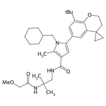 COCC(=O)NC(C)(C)CNC(=O)c1cc(-c2cc(C(C)(C)C)c3c(c2)C2(CCO3)CC2)n(CC2CCCCC2)c1C